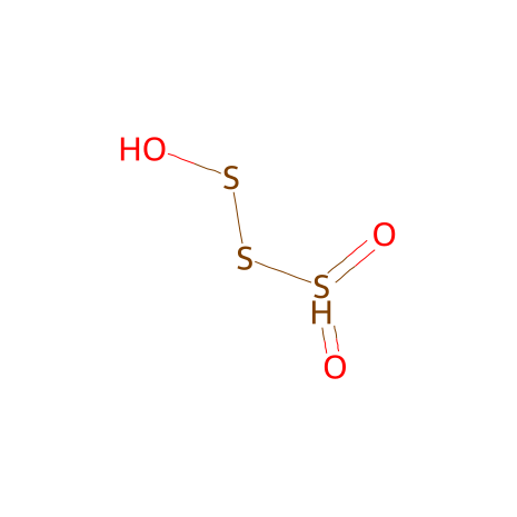 O=[SH](=O)SSO